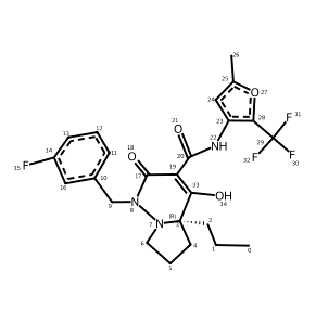 CCC[C@]12CCCN1N(Cc1cccc(F)c1)C(=O)C(C(=O)Nc1cc(C)oc1C(F)(F)F)=C2O